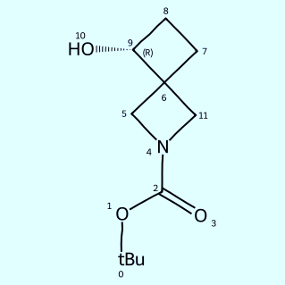 CC(C)(C)OC(=O)N1CC2(CC[C@H]2O)C1